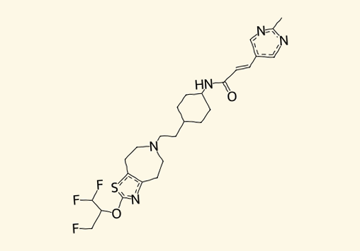 Cc1ncc(/C=C/C(=O)NC2CCC(CCN3CCc4nc(OC(CF)C(F)F)sc4CC3)CC2)cn1